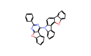 c1ccc(-c2nc(-n3c4ccccc4c4c5oc6ccccc6c5ccc43)c3c(n2)oc2ccccc23)cc1